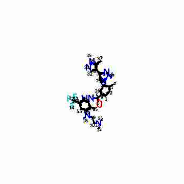 Cc1ccc(C(=O)Nc2cc(C(F)(F)F)cc(N(C)CCN(C)C)c2C)cc1-n1cc(-c2cnn(C)c2C)nn1